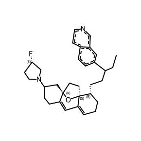 CCC(CC[C@@H]1CCC=C2C=C3CCC(N4CC[C@H](F)C4)C[C@]34CC[C@@]21O4)c1ccc2ccncc2c1